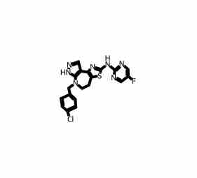 Fc1cnc(Nc2nc3c(s2)CCN(Cc2ccc(Cl)cc2)c2[nH]ncc2-3)nc1